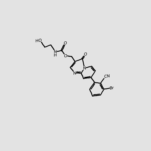 N#Cc1c(Br)cccc1-c1ccn2c(=O)c(COC(=O)NCCO)cnc2c1